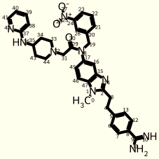 Cn1c(CCc2ccc(C(=N)N)cc2)nc2cc(N(Cc3cccc([N+](=O)[O-])c3)C(=O)CN3CCC(Nc4ccccn4)CC3)ccc21